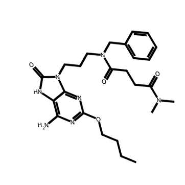 CCCCOc1nc(N)c2[nH]c(=O)n(CCCN(Cc3ccccc3)C(=O)CCC(=O)N(C)C)c2n1